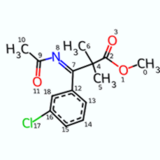 COC(=O)C(C)(C)/C(=N/C(C)=O)c1cccc(Cl)c1